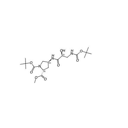 COC(=O)[C@H]1C[C@H](NC(=O)[C@@H](O)CNC(=O)OC(C)(C)C)CN1C(=O)OC(C)(C)C